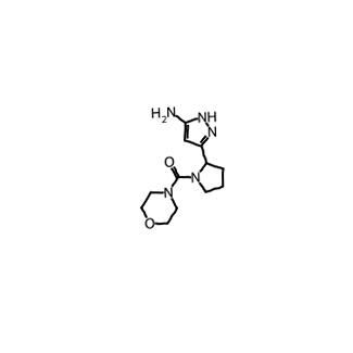 Nc1cc(C2CCCN2C(=O)N2CCOCC2)n[nH]1